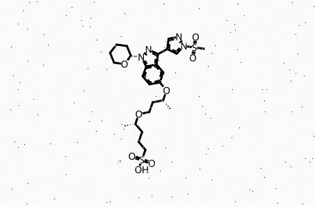 C[C@H](CCO[C@@H](C)CCCS(=O)(=O)O)Oc1ccc2c(c1)c(-c1cnn(S(C)(=O)=O)c1)nn2[C@H]1CCCCO1